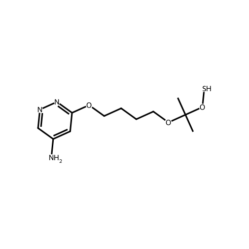 CC(C)(OS)OCCCCOc1cc(N)cnn1